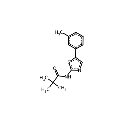 Cc1cccc(-c2cnc(NC(=O)C(C)(C)C)s2)c1